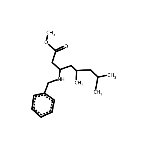 COC(=O)CC(CC(C)CC(C)C)NCc1ccccc1